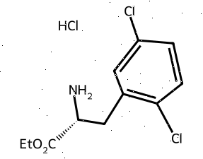 CCOC(=O)[C@H](N)Cc1cc(Cl)ccc1Cl.Cl